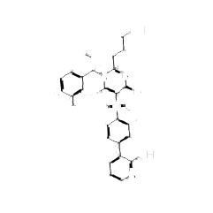 CCCCc1nc(=O)c(S(=O)(=O)c2ccc(-c3cccnc3C)cc2)c(O)n1[C@@H](CC)c1cccc(F)c1